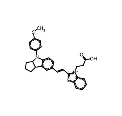 CSc1ccc(N2c3ccc(/C=C/c4sc5ccccc5[n+]4CCC(=O)O)cc3C3CCCC32)cc1